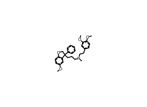 COc1ccc2c(c1)C(CCCN(C)CCc1ccc(OC)c(OC)c1)(c1ccccc1)CO2